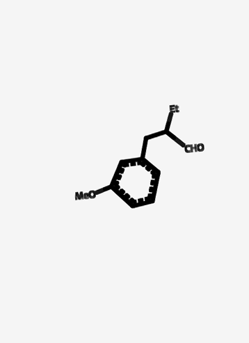 CCC(C=O)Cc1cccc(OC)c1